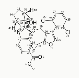 COC(=O)c1ccc2nc([C@@]3(O)[C@@H]4CC[C@H]3C[C@@H](OCc3c(-c5c(Cl)cccc5Cl)noc3C3CC3)C4)sc2c1